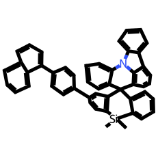 C[Si]1(C)c2ccccc2C2(c3ccccc3-n3c4ccccc4c4cccc2c43)c2cc(-c3ccc(-c4cccc5ccccc45)cc3)ccc21